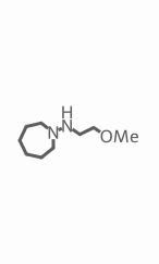 COCCNN1CCCCCC1